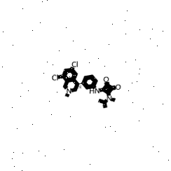 CC(C)N(C)c1c(Nc2cccc([C@@H]3CN(C)Cc4c(Cl)cc(Cl)cc43)c2)c(=O)c1=O